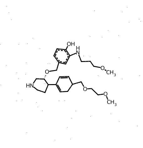 COCCCNc1cc(CO[C@H]2CNCCC2C2=CCC(COCCOC)C=C2)ccc1O